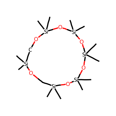 C[Si]1(C)CO[Si](C)(C)O[Si](C)(C)O[Si](C)(C)O[Si](C)(C)O[Si](C)(C)CO1